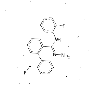 N/N=C(\Nc1ccccc1F)c1ccccc1-c1ccccc1CF